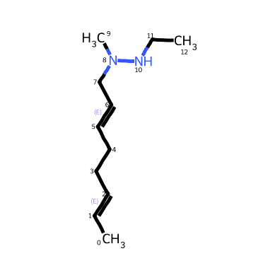 C/C=C/CC/C=C/CN(C)NCC